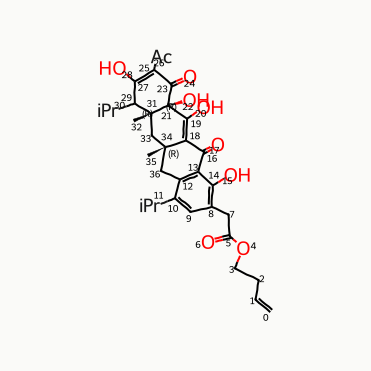 C=CCCOC(=O)Cc1cc(C(C)C)c2c(c1O)C(=O)C1=C(O)[C@@]3(O)C(=O)C(C(C)=O)=C(O)C(C(C)C)[C@@]3(C)C[C@@]1(C)C2